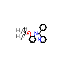 C[SiH](C)Oc1ccccc1N=C(c1ccccc1)c1ccccn1